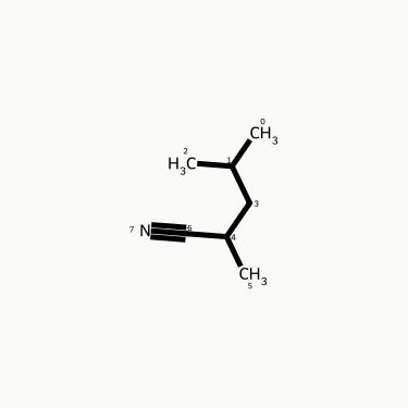 CC(C)[CH]C(C)C#N